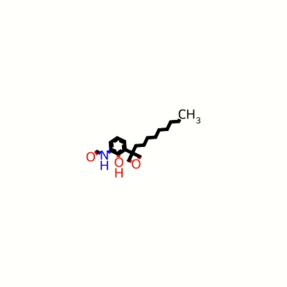 CCCCCCCCCC1(c2cccc(NC=O)c2O)COC1